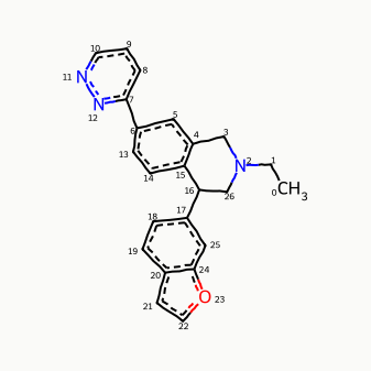 CCN1Cc2cc(-c3cccnn3)ccc2C(c2ccc3ccoc3c2)C1